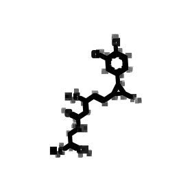 C=C(C)CNC(=O)C=C(C)C=CC1C(F)C1c1ccc(Cl)c(Cl)c1